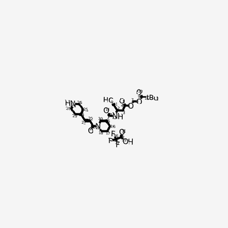 C#CC(CC(=O)OCOC(=O)C(C)(C)C)NC(=O)[C@@H]1CCCN(C(=O)/C=C/C2CCNCC2)C1.O=C(O)C(F)(F)F